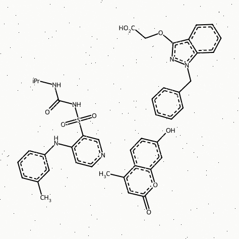 Cc1cc(=O)oc2cc(O)ccc12.Cc1cccc(Nc2ccncc2S(=O)(=O)NC(=O)NC(C)C)c1.O=C(O)COc1nn(Cc2ccccc2)c2ccccc12